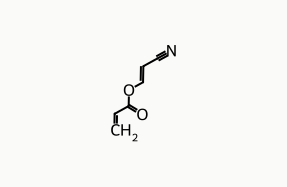 C=CC(=O)OC=CC#N